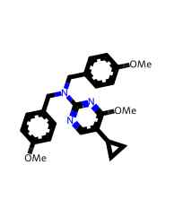 COc1ccc(CN(Cc2ccc(OC)cc2)c2ncc(C3CC3)c(OC)n2)cc1